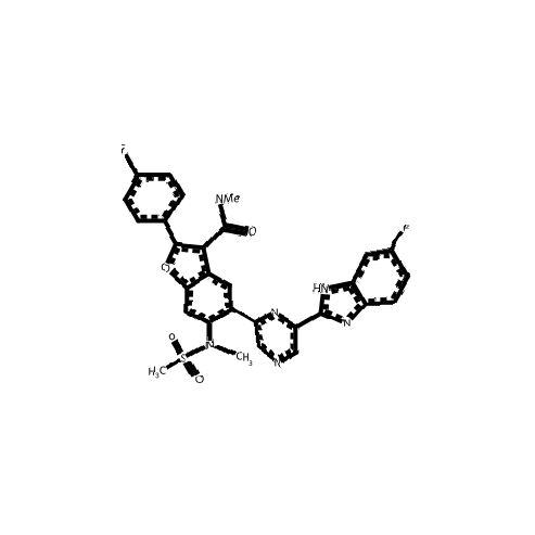 CNC(=O)c1c(-c2ccc(F)cc2)oc2cc(N(C)S(C)(=O)=O)c(-c3cncc(-c4nc5ccc(F)cc5[nH]4)n3)cc12